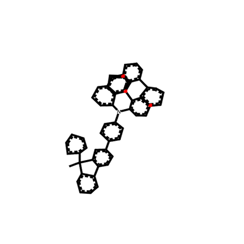 CC1(c2ccccc2)c2ccccc2-c2ccc(-c3ccc(N(c4ccccc4C4=c5c(-c6ccccc6)cccc5=CCC4)c4cccc5ccccc45)cc3)cc21